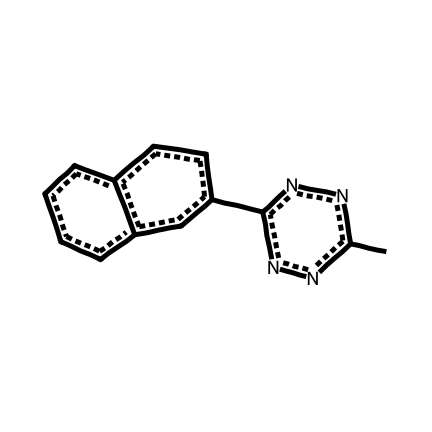 Cc1nnc(-c2ccc3ccccc3c2)nn1